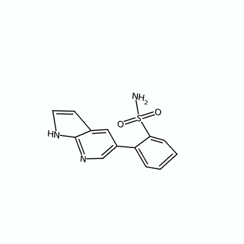 NS(=O)(=O)c1ccccc1-c1cnc2[nH]ccc2c1